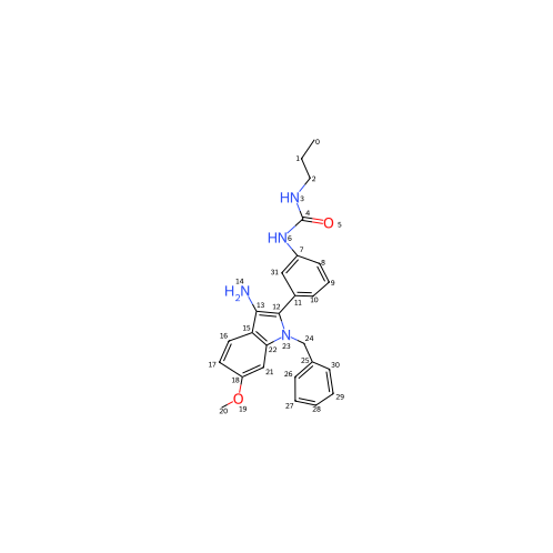 CCCNC(=O)Nc1cccc(-c2c(N)c3ccc(OC)cc3n2Cc2ccccc2)c1